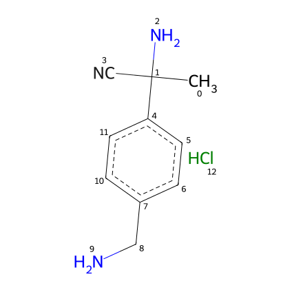 CC(N)(C#N)c1ccc(CN)cc1.Cl